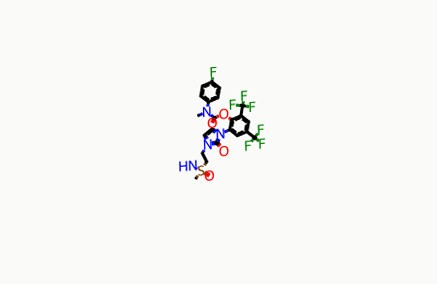 CN(C(=O)Oc1c(-n2ccn(CCS(C)(=N)=O)c2=O)cc(C(F)(F)F)cc1C(F)(F)F)c1ccc(F)cc1